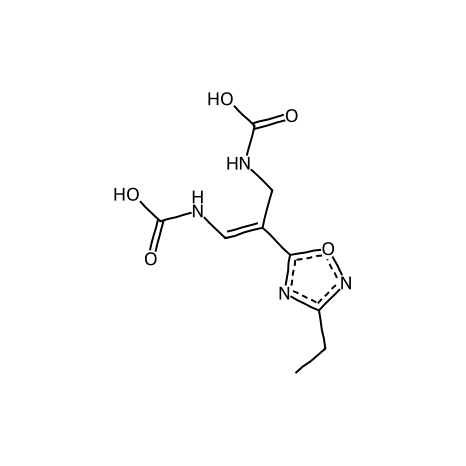 CCc1noc(C(=CNC(=O)O)CNC(=O)O)n1